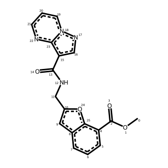 COC(=O)c1cccc2cc(CNC(=O)c3cnn4cccnc34)oc12